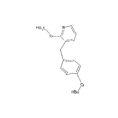 CCCCOc1ccc(Cc2cccnc2OC(=O)O)cc1